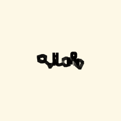 O=C(N1CCCC1)N1CCC(CNC2CC2c2ccccc2)CC1